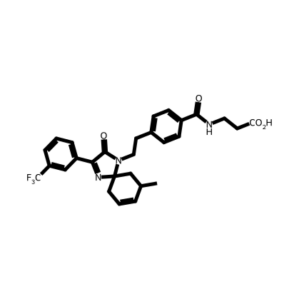 CC1C=CCC2(C1)N=C(c1cccc(C(F)(F)F)c1)C(=O)N2CCc1ccc(C(=O)NCCC(=O)O)cc1